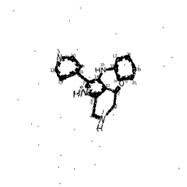 O=C1CNCc2[nH]c(-c3ccncc3)c(Nc3ccccc3)c21